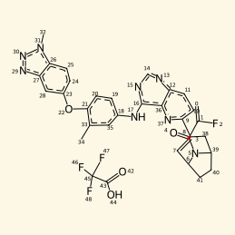 C=C(F)C(=O)N1C2C=C(c3ccc4ncnc(Nc5ccc(Oc6ccc7c(c6)nnn7C)c(C)c5)c4n3)CC1CC2.O=C(O)C(F)(F)F